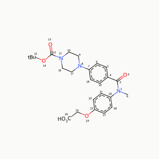 CN(C(=O)c1ccc(N2CCN(C(=O)OC(C)(C)C)CC2)cc1)c1ccc(OCC(=O)O)cc1